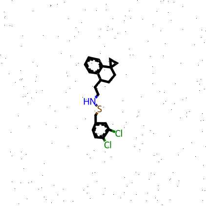 Clc1ccc(CSNCCC2CCC3(CC3)c3ccccc32)cc1Cl